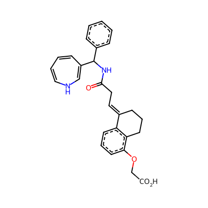 O=C(O)COc1cccc2c1CCC/C2=C\CC(=O)NC(C1=CNC=CC=C1)c1ccccc1